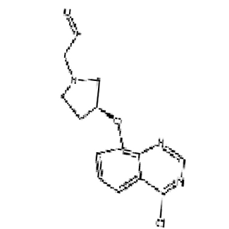 O=[C]CN1CC[C@H](Oc2cccc3c(Cl)ncnc23)C1